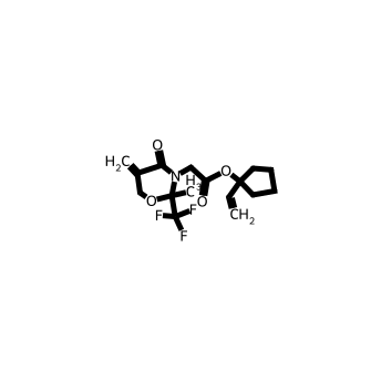 C=CC1(OC(=O)CN2C(=O)C(=C)COC2(C)C(F)(F)F)CCCC1